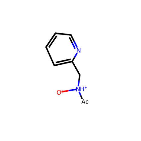 CC(=O)[NH+]([O-])Cc1ccccn1